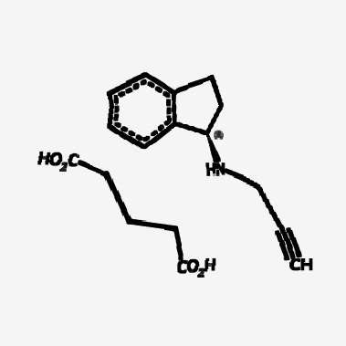 C#CCN[C@@H]1CCc2ccccc21.O=C(O)CCCC(=O)O